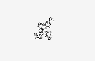 COCC(Cn1cc(-c2nc(Cl)ncc2C)cc1C(=O)OC)NCc1ccnc(C)n1